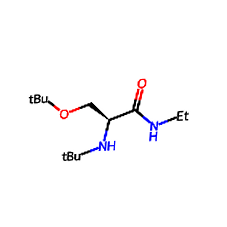 CCNC(=O)[C@H](COC(C)(C)C)NC(C)(C)C